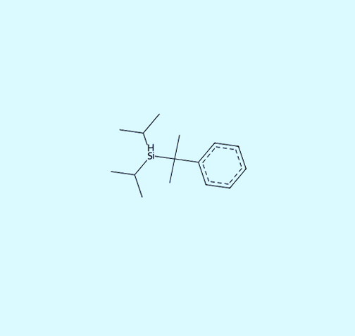 CC(C)[SiH](C(C)C)C(C)(C)c1ccccc1